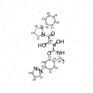 C[C@H](NC(=O)[C@H](O)[C@@H](O)C(=O)N1CCC[C@@H]1c1ccccc1)c1ccc(-n2cccn2)cc1